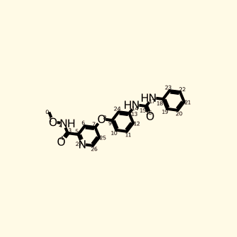 CONC(=O)c1cc(Oc2cccc(NC(=O)Nc3ccccc3)c2)ccn1